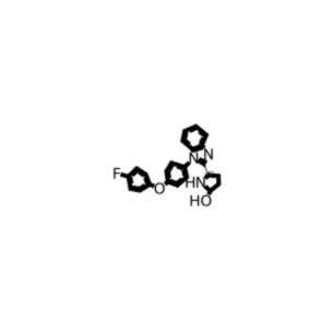 OC1CC[C@@H](c2nc3ccccc3n2-c2ccc(Oc3ccc(F)cc3)cc2)N1